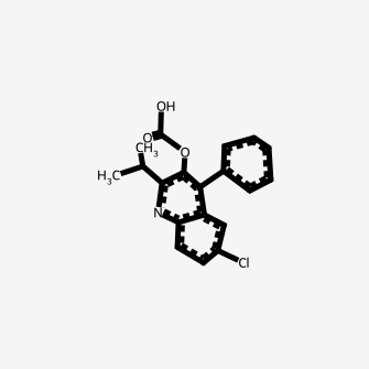 CC(C)c1nc2ccc(Cl)cc2c(-c2ccccc2)c1OC(=O)O